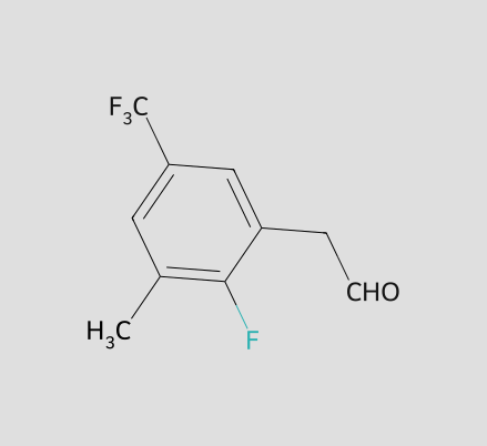 Cc1cc(C(F)(F)F)cc(CC=O)c1F